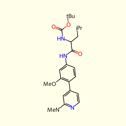 CNc1cc(-c2ccc(NC(=O)C(CC(C)C)NC(=O)OC(C)(C)C)cc2OC)ccn1